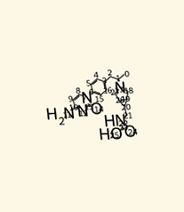 CC(Cc1ccc(-n2ccc(N)nc2=O)cc1)N1CC2C(CNC(=O)O)C2C1